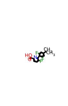 CC(C)c1cc(F)c(-c2nc(C(=O)O)ccc2F)c(F)c1